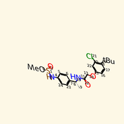 CO[SH](=O)=Nc1ccc([C@@H](C)NC(=O)COc2ccc(C(C)(C)C)c(Cl)c2)cc1